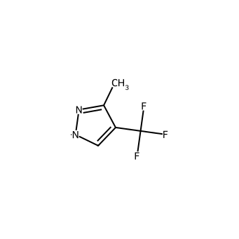 CC1=N[N]C=C1C(F)(F)F